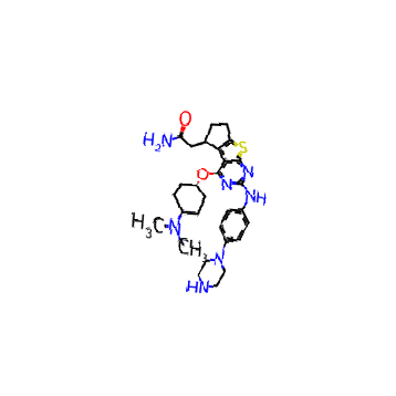 CN(C)[C@H]1CC[C@H](Oc2nc(Nc3ccc(N4CCNCC4)cc3)nc3sc4c(c23)C(CC(N)=O)CC4)CC1